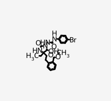 CCC1(CCc2ccccc2C(=O)OC)NC(=O)N(NC(=O)Nc2ccc(Br)cc2)C1O